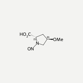 CO[C@@H]1C[C@@H](C(=O)O)N(N=O)C1